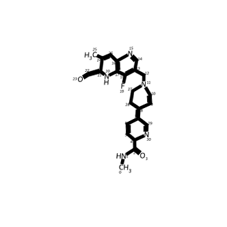 CNC(=O)C1C=CC(=C2C=CN(Cc3cnc4c(c3F)NC(=C=O)C(C)=C4)CC2)C=N1